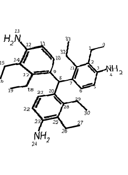 CCc1c(N)ccc(C(c2ccc(N)c(CC)c2CC)c2ccc(N)c(CC)c2CC)c1CC